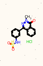 Cl.Cn1nc(-c2cccc(N[SH](=O)=O)c2)c2ccccc2c1=O